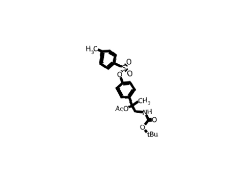 CC(=O)OC(C)(CNC(=O)OC(C)(C)C)c1ccc(OS(=O)(=O)c2ccc(C)cc2)cc1